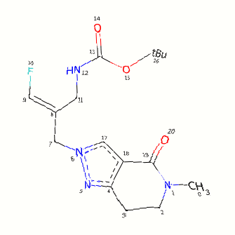 CN1CCc2nn(CC(=CF)CNC(=O)OC(C)(C)C)cc2C1=O